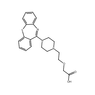 O=C(O)COCCN1CCN(C2=Nc3ccccc3Sc3ccccc32)CC1